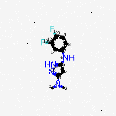 CN(C)c1cc(Nc2ccc(F)c(F)c2)[nH]n1